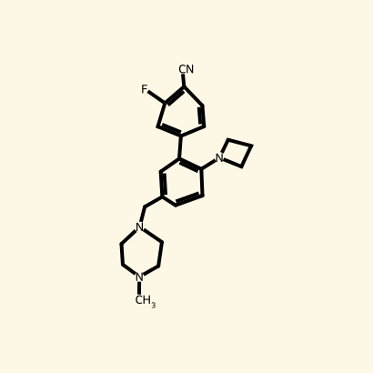 CN1CCN(Cc2ccc(N3CCC3)c(-c3ccc(C#N)c(F)c3)c2)CC1